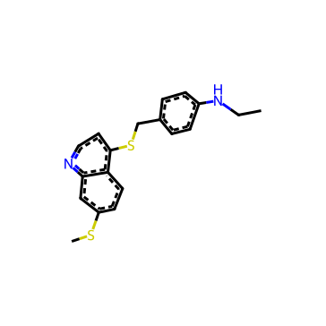 CCNc1ccc(CSc2ccnc3cc(SC)ccc23)cc1